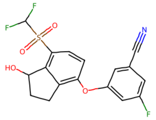 N#Cc1cc(F)cc(Oc2ccc(S(=O)(=O)C(F)F)c3c2CCC3O)c1